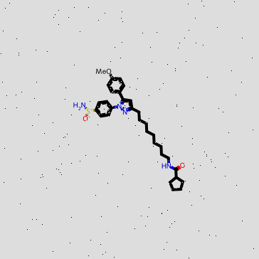 COc1ccc(-c2cc(CCCCCCCCCNC(=O)C3CCCC3)nn2-c2ccc([S+](N)[O-])cc2)cc1